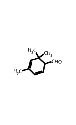 CC1=CC(C)(C)C(C=O)C=C1